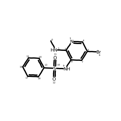 CNc1ncc(Br)cc1NS(=O)(=O)c1ccccc1